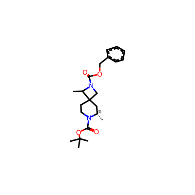 CC1N(C(=O)OCc2ccccc2)CC12CCN(C(=O)OC(C)(C)C)[C@@H](C)C2